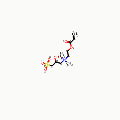 C=CC(=O)OCC[N+](C)(C)CC(O)CS(=O)(=O)[O-]